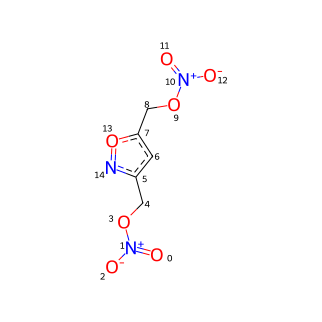 O=[N+]([O-])OCc1cc(CO[N+](=O)[O-])on1